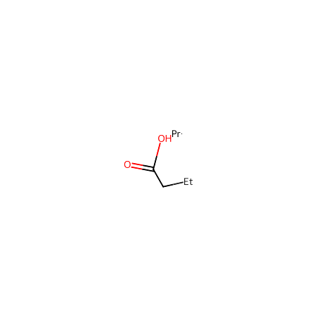 CCCC(=O)O.[Pr]